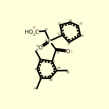 Cc1cc(C)c(C(=O)P(=O)(CC(=O)O)c2ccccc2)c(C)c1